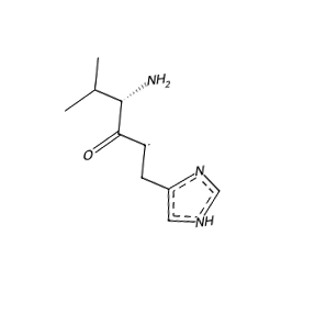 CC(C)[C@H](N)C(=O)[CH]Cc1c[nH]cn1